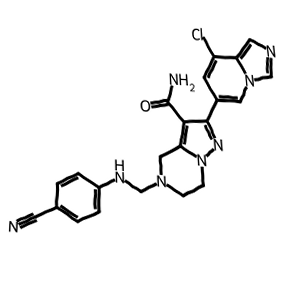 N#Cc1ccc(NCN2CCn3nc(-c4cc(Cl)c5cncn5c4)c(C(N)=O)c3C2)cc1